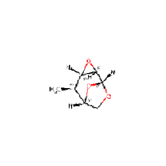 C[C@H]1[C@@H]2O[C@@H]2[C@@H]2OC[C@H]1O2